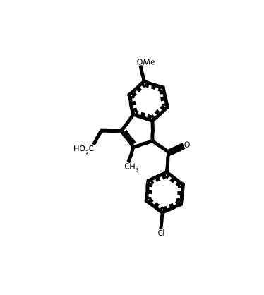 COc1ccc2c(c1)C(CC(=O)O)=C(C)C2C(=O)c1ccc(Cl)cc1